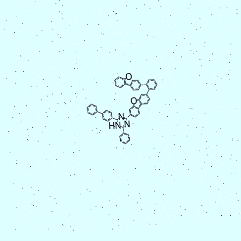 c1ccc(C2=NC(c3ccc4c(c3)oc3cc(-c5ccccc5-c5ccc6c(c5)oc5ccccc56)ccc34)=NC(c3ccc(-c4ccccc4)cc3)N2)cc1